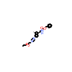 CCCOC(=O)CCN1CCN(c2ccc3c(c2)[C@H](C)C[C@H]3CCNC(=O)OCc2ccccc2)CC1